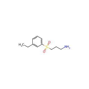 CCc1cccc(S(=O)(=O)CCCN)c1